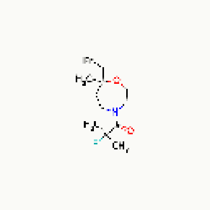 CC(C)CC1(C)CCN(C(=O)C(C)(C)F)CCO1